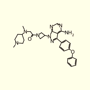 CN1CCC(N(C)CC(=O)N2CC(n3nc(-c4ccc(Oc5ccccc5)cc4)c4c(N)ncnc43)C2)CC1